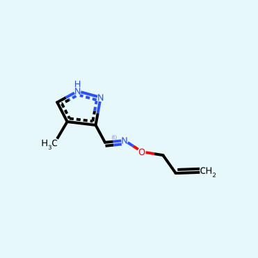 C=CCO/N=C/c1n[nH]cc1C